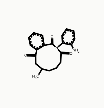 CC1CCCC(=O)N(c2ccccc2N)C(=O)c2ccccc2C(=O)C1